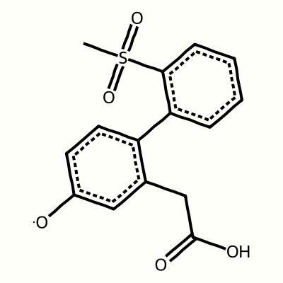 CS(=O)(=O)c1ccccc1-c1ccc([O])cc1CC(=O)O